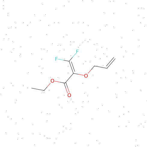 C=CCOC(C(=O)OCC)=C(F)F